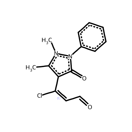 Cc1c(/C(Cl)=C\C=O)c(=O)n(-c2ccccc2)n1C